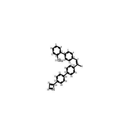 CC(=Cc1ccc(-c2ccccc2C(C)(C)C)cc1)c1ccc(-c2ccc(C3=CC=N3)cc2)cc1